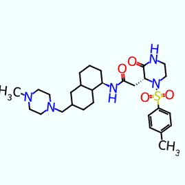 Cc1ccc(S(=O)(=O)N2CCNC(=O)[C@H]2CC(=O)N[C@@H]2CCCC3CC(CN4CCN(C)CC4)CCC32)cc1